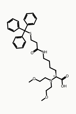 COCCN(CCOC)[C@@H](CCCCNC(=O)CCSC(c1ccccc1)(c1ccccc1)c1ccccc1)C(=O)O